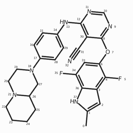 Cc1cc2c(F)c(Oc3ncnc(Nc4ccc(N5CCN6CCCCC6C5)cc4)c3C#N)cc(F)c2[nH]1